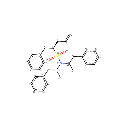 C=CC[C@H](Cc1ccccc1)S(=O)(=O)N(B(C)Cc1ccccc1)B(C)Cc1ccccc1